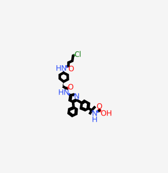 CC(C)(NC(=O)O)c1ccc(-c2ncc(NC(=O)C[C@H]3CC[C@H](NC(=O)CCCCl)CC3)cc2-c2ccccc2)cc1